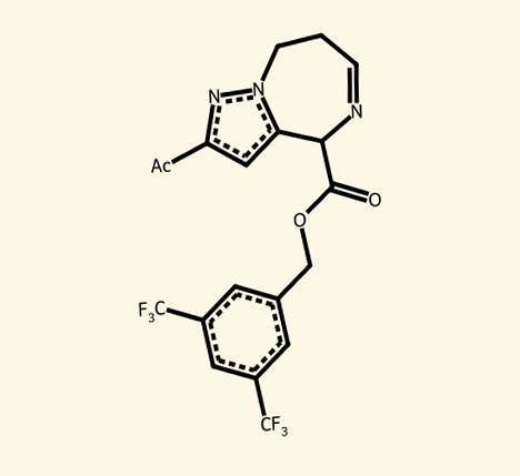 CC(=O)c1cc2n(n1)CCC=NC2C(=O)OCc1cc(C(F)(F)F)cc(C(F)(F)F)c1